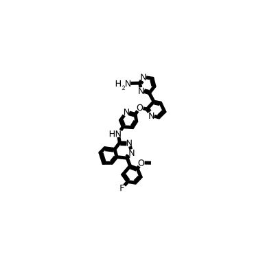 COc1ccc(F)cc1-c1nnc(Nc2ccc(Oc3ncccc3-c3ccnc(N)n3)nc2)c2ccccc12